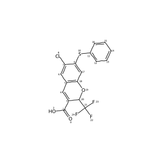 O=C(O)C1=Cc2cc(Cl)c(Sc3ccccc3)cc2OC1C(F)(F)F